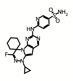 NS(=O)(=O)c1ccc(Nc2ncc3cc4n(c3n2)C2(CCCCC2)C(F)=NN4C2CC2)nc1